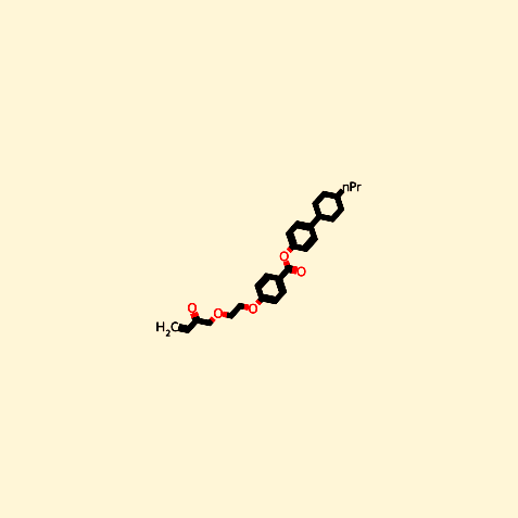 C=CC(=O)COCCOc1ccc(C(=O)Oc2ccc(C3CCC(CCC)CC3)cc2)cc1